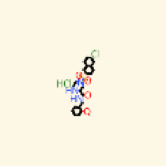 COc1ccccc1CNC(=O)C1CN(S(=O)(=O)c2ccc3cc(Cl)ccc3c2)CCN1.Cl